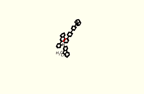 CC1(C)c2ccccc2-c2ccc(N(c3ccc(-c4ccc(-c5ccc(C67CC8CC(CC(C8)C6)C7)cc5)cc4)cc3)c3ccccc3-c3ccc4ccccc4c3)cc21